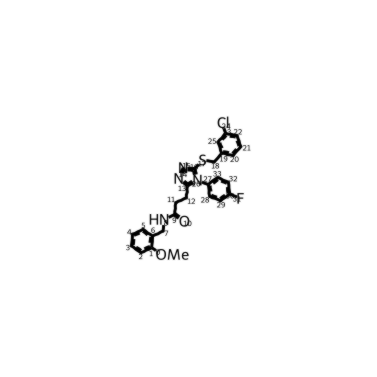 COc1ccccc1CNC(=O)CCc1nnc(SCc2cccc(Cl)c2)n1-c1ccc(F)cc1